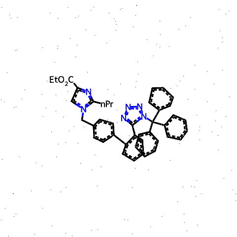 CCCc1nc(C(=O)OCC)cn1Cc1ccc(-c2ccccc2-c2nnnn2C(c2ccccc2)(c2ccccc2)c2ccccc2)cc1